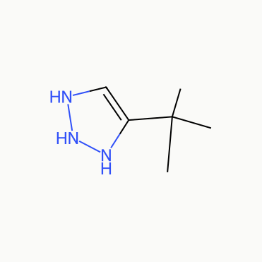 CC(C)(C)C1=CNNN1